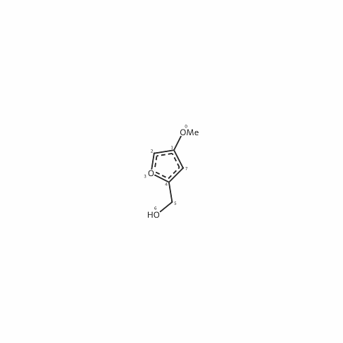 COc1coc(CO)c1